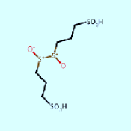 O=S(=O)(O)CCC[S+]([O-])[S+]([O-])CCCS(=O)(=O)O